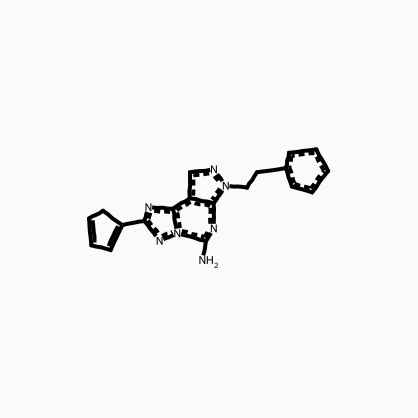 Nc1nc2c(cnn2CCc2ccccc2)c2nc(C3=CC=CC3)nn12